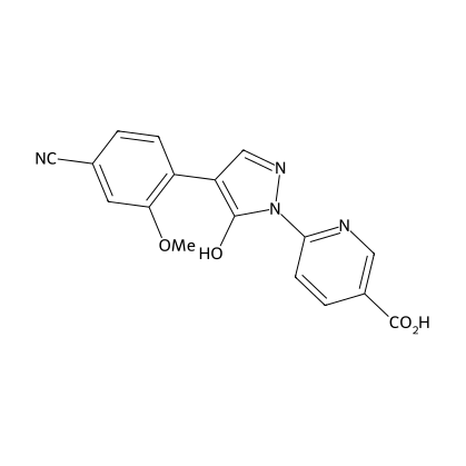 COc1cc(C#N)ccc1-c1cnn(-c2ccc(C(=O)O)cn2)c1O